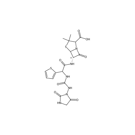 CC1(C)SC2[C@@H](NC(=O)C(NC(=O)NN3C(=O)CNC3=O)c3cccs3)C(=O)N2C1C(=O)O